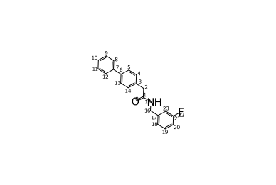 O=C(Cc1ccc(-c2ccccc2)cc1)NCc1cccc(F)c1